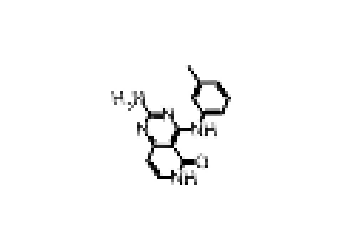 Cc1cccc(Nc2nc(N)nc3cc[nH]c(=O)c23)c1